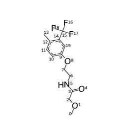 COCC(=O)NCCOc1ccc(C)c(C(F)(F)F)c1